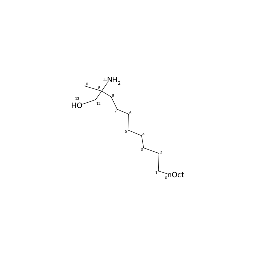 CCCCCCCCCCCCCCCCC(C)(N)CO